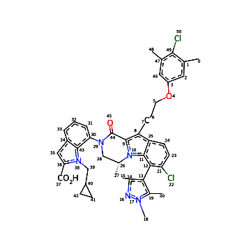 Cc1cc(OCCCc2c3n(c4c(-c5c(C)nn(C)c5C)c(Cl)ccc24)[C@H](C)CN(c2cccc4cc(C(=O)O)n(CC5CC5)c24)C3=O)cc(C)c1Cl